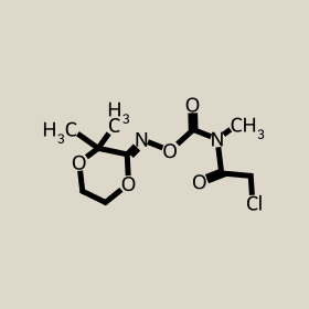 CN(C(=O)CCl)C(=O)ON=C1OCCOC1(C)C